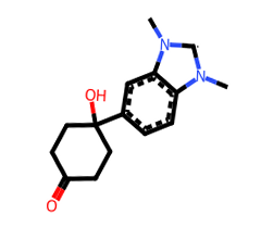 CN1[CH]N(C)c2cc(C3(O)CCC(=O)CC3)ccc21